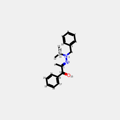 CC(=NN(Cc1ccccc1)[SiH](C)C)C(=O)c1ccccc1